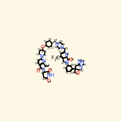 CC1c2nc(N3CCC(O[C@H]4CC[C@H](CN5CCN(Cc6cc(C(F)(F)F)c7c(n6)C(=O)N(c6cccc(C8(Cc9nncn9C)COC8)c6)C7)CC5)CC4)CC3)ccc2C(=O)N1C1CCC(=O)NC1=O